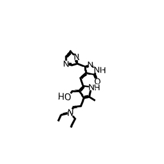 CCN(CC)CCc1c(C)[nH]c(C=C2C(=O)NN=C2c2cnccn2)c1CO